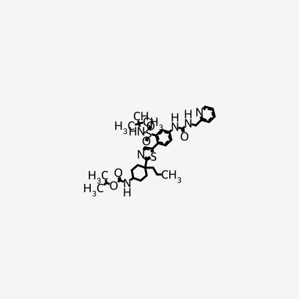 CCCC1(c2ncc(-c3ccc(NC(=O)NCc4ccccn4)cc3S(=O)(=O)NC(C)(C)C)s2)CCC(NC(=O)OC(C)C)CC1